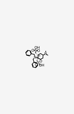 CN(C)C1CC[C@@](CS(=O)(=O)O)(N(Cc2ccccc2)Cc2ccccc2)[C@H](CS(=O)(=O)O)C1